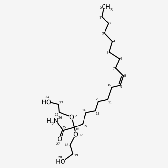 CCCCCCCC/C=C\CCCCCCC(OCCO)(OCCO)C(N)=O